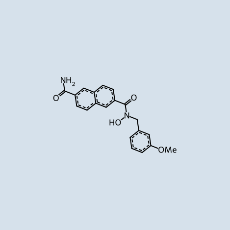 COc1cccc(CN(O)C(=O)c2ccc3cc(C(N)=O)ccc3c2)c1